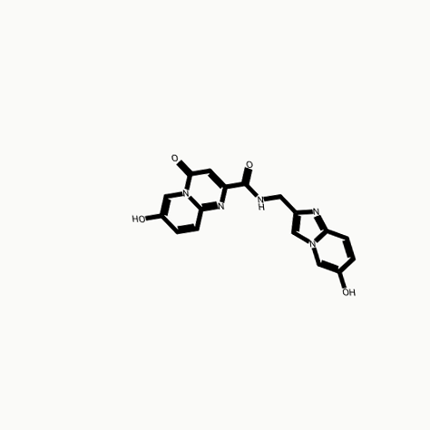 O=C(NCc1cn2cc(O)ccc2n1)c1cc(=O)n2cc(O)ccc2n1